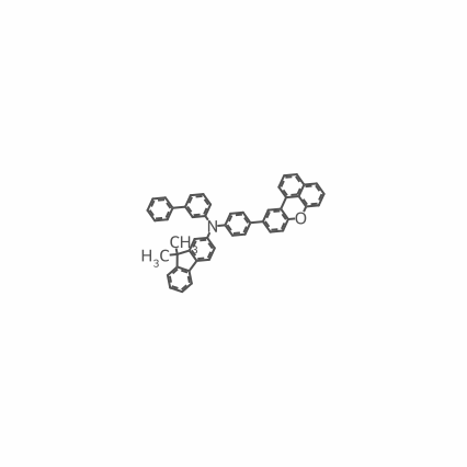 CC1(C)c2ccccc2-c2ccc(N(c3ccc(-c4ccc5c(c4)-c4cccc6cccc(c46)O5)cc3)c3cccc(-c4ccccc4)c3)cc21